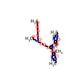 C/C=C1\C[C@H]2C=Nc3cc(OCc4cc(OCCOCCOCCN(CCCC(C)=O)C(=O)CCOCCOCCOCCOC)cc(COc5cc6c(cc5OC)C(=O)N5C/C(=C/C)C[C@H]5C=N6)n4)c(OC)cc3C(=O)N2C1